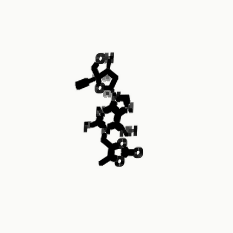 C#C[C@]1(CO)O[C@@H](n2cnc3c(=N)n(Cc4oc(=O)oc4C)c(F)nc32)C[C@@H]1C